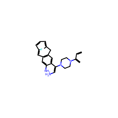 C=CC(=C)N1CCN(/C(=C/N)c2cc3c(cc2N)/C=C(F)/C=C\C=C(/C)C3)CC1